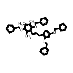 Cc1c(C)c(OCc2ccccc2)c(/C=C/Cc2ccc(OCc3ccccc3)cc2OCc2ccccc2)c(C)c1OCc1ccccc1